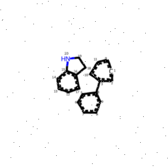 c1ccc(-c2ccccc2)cc1.c1ccc2c(c1)CCN2